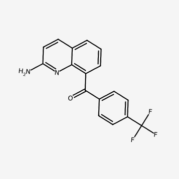 Nc1ccc2cccc(C(=O)c3ccc(C(F)(F)F)cc3)c2n1